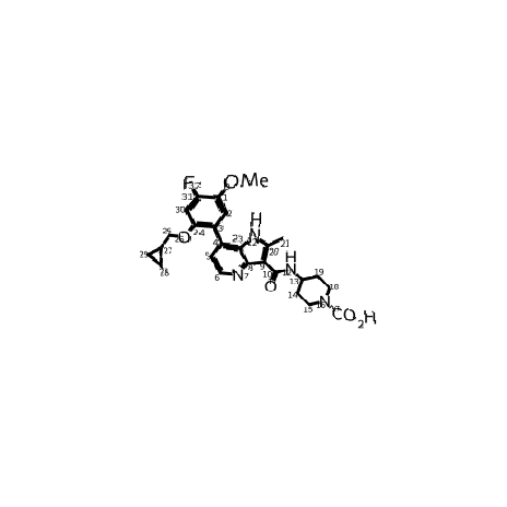 COc1cc(-c2ccnc3c(C(=O)NC4CCN(C(=O)O)CC4)c(C)[nH]c23)c(OCC2CC2)cc1F